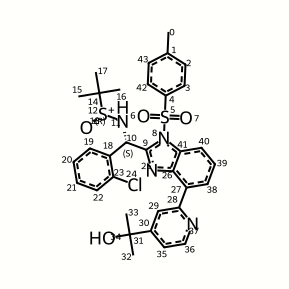 Cc1ccc(S(=O)(=O)n2c([C@@H](N[S@@+]([O-])C(C)(C)C)c3ccccc3Cl)nc3c(-c4cc(C(C)(C)O)ccn4)cccc32)cc1